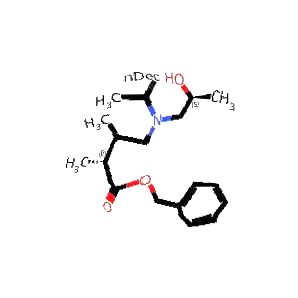 CCCCCCCCCCC(C)N(CC(C)[C@@H](C)C(=O)OCc1ccccc1)C[C@H](C)O